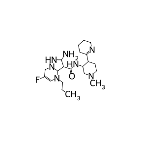 CCCN1C=C(F)CN2NC(N)C(C(=O)NC3CN(C)CCC3C3=NCCCC3)C12